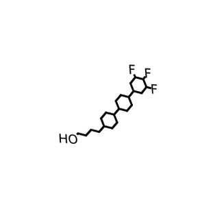 OCCCCC1CCC(C2CCC(C3CC(F)C(F)C(F)C3)CC2)CC1